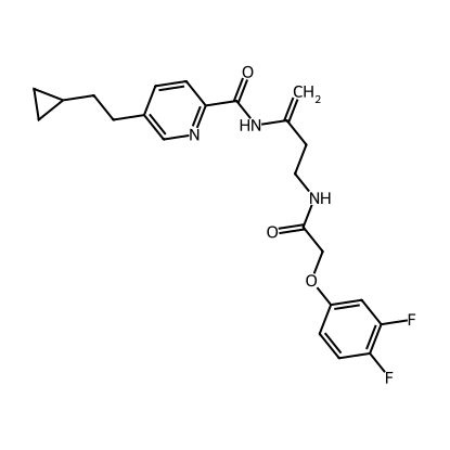 C=C(CCNC(=O)COc1ccc(F)c(F)c1)NC(=O)c1ccc(CCC2CC2)cn1